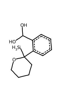 OC(O)c1ccccc1C1([SiH3])CCCCO1